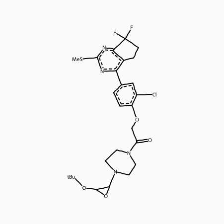 CSc1nc(-c2ccc(OCC(=O)N3CCN(C4OC4OC(C)(C)C)CC3)c(Cl)c2)c2c(n1)C(F)(F)CC2